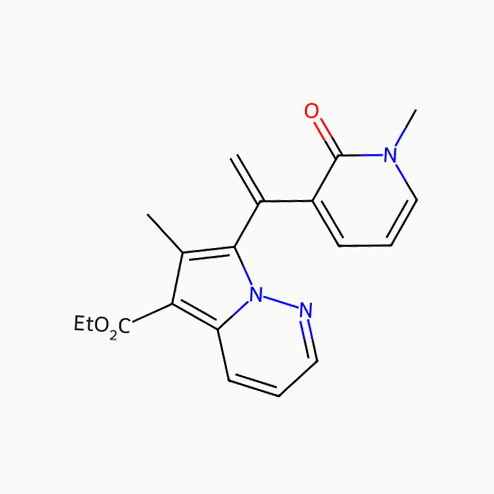 C=C(c1cccn(C)c1=O)c1c(C)c(C(=O)OCC)c2cccnn12